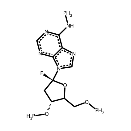 F[C@]1(n2cnc3c(NP)ncnc32)C[C@@H](OP)C(COP)O1